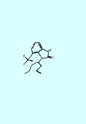 CCCC(CCC)n1c(=O)[nH]c2cccc(C(F)(F)F)c21